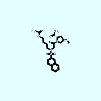 CS[C@@H]1C[C@@H](C(N)=O)N(C(=O)CN(CCCCNC(=N)N)S(=O)(=O)c2ccc3ccccc3c2)C1